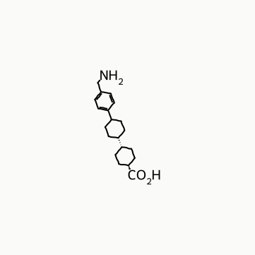 NCc1ccc(C2CCC([C@H]3CC[C@H](C(=O)O)CC3)CC2)cc1